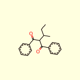 CCC(C)C(C(=O)c1ccccc1)C(=O)c1ccccc1